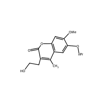 CCCOc1cc2c(C)c(CCO)c(=O)oc2cc1OC